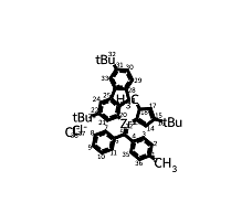 Cc1ccc(/[C](c2ccccc2)=[Zr+2](\[C]2=CC(C(C)(C)C)=CC2C)[c]2cc(C(C)(C)C)cc3c2Cc2ccc(C(C)(C)C)cc2-3)cc1.[Cl-].[Cl-]